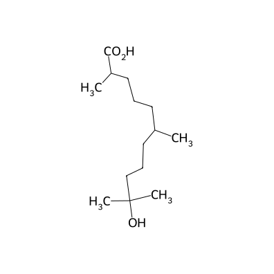 CC(CCCC(C)C(=O)O)CCCC(C)(C)O